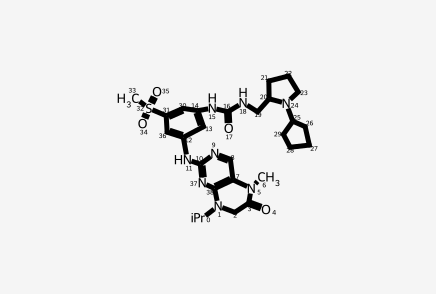 CC(C)N1CC(=O)N(C)c2cnc(Nc3cc(NC(=O)NCC4CCCN4C4CCCC4)cc(S(C)(=O)=O)c3)nc21